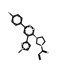 C=CC(=O)N1CC[C@H](c2nnc(-c3ccc(F)cc3)cc2-c2ccn(C)n2)C1